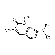 CCCOC(=O)C(C#N)=Cc1ccc(N(CC)CC)cc1